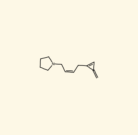 C=C1C=C1C/C=C\CN1CCCC1